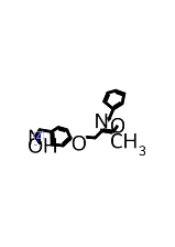 Cc1oc(-c2ccccc2)nc1CCOc1ccc(/C=N\O)cc1